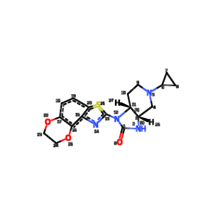 O=C1N[C@H]2CN(C3CC3)CC[C@H]2N1c1nc2c3c(ccc2s1)OCCO3